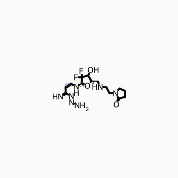 N=C(/C=C\N[C@@H]1O[C@H](CNCCN2CCCC2=O)C(O)C1(F)F)N=NN